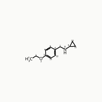 CCOc1ccc(CNC2CC2)cc1